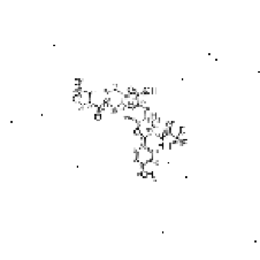 Cc1ccc([C@@H](Oc2ccc(C(=O)O)c([C@@H]3CCCN(C(=O)[C@H]4COC(=O)C4)C3)c2)[C@H](C)NC(=O)C(F)(F)F)cc1